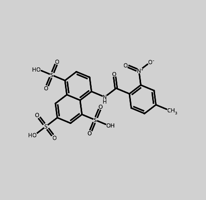 Cc1ccc(C(=O)Nc2ccc(S(=O)(=O)O)c3cc(S(=O)(=O)O)cc(S(=O)(=O)O)c23)c([N+](=O)[O-])c1